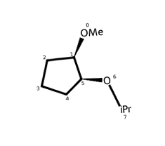 CO[C@@H]1CCC[C@@H]1OC(C)C